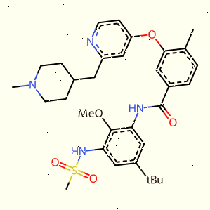 COc1c(NC(=O)c2ccc(C)c(Oc3ccnc(CC4CCN(C)CC4)c3)c2)cc(C(C)(C)C)cc1NS(C)(=O)=O